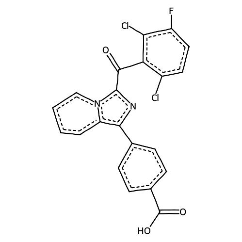 O=C(O)c1ccc(-c2nc(C(=O)c3c(Cl)ccc(F)c3Cl)n3ccccc23)cc1